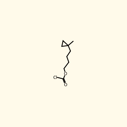 CC1(CCCCOC(=O)Cl)CC1